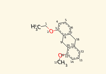 CCOc1cccc2c1Cc1c(cccc1OC)C2